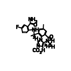 [2H]C(C)(Nc1ccc(F)cc1C(N)=O)c1cc(C)cc2c(=O)n(C([2H])([2H])[2H])c3c(C(=O)O)ncn3c12